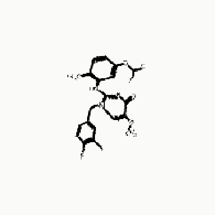 COc1cn(Cc2ccc(F)c(F)c2)c(Nc2cc(OC(F)F)ccc2C)nc1=O